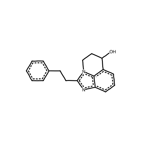 OC1CCn2c(CCc3ccccc3)nc3cccc1c32